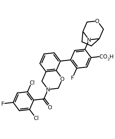 O=C(O)c1cc(F)c(-c2cccc3c2OCN(C(=O)c2c(Cl)cc(F)cc2Cl)C3)cc1N1C2CCC1COC2